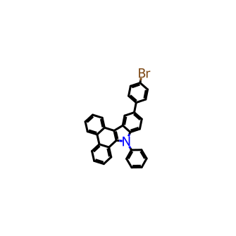 Brc1ccc(-c2ccc3c(c2)c2c4ccccc4c4ccccc4c2n3-c2ccccc2)cc1